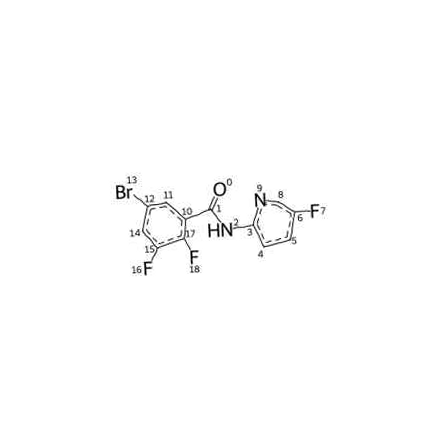 O=C(Nc1ccc(F)cn1)c1cc(Br)cc(F)c1F